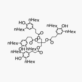 CCCCCCc1cc(CCC(=O)OCC(COC(=O)CCc2cc(CCCCCC)c(O)c(CCCCCC)c2)(COC(=O)CCc2cc(CCCCCC)c(O)c(CCCCCC)c2)COC(=O)CCc2cc(CCCCCC)c(O)c(CCCCCC)c2)cc(CCCCCC)c1O